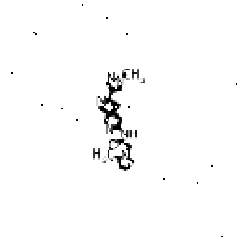 CC1CCCN1CC(=O)Nc1cc2cc(-c3cnn(C)c3)ncc2cn1